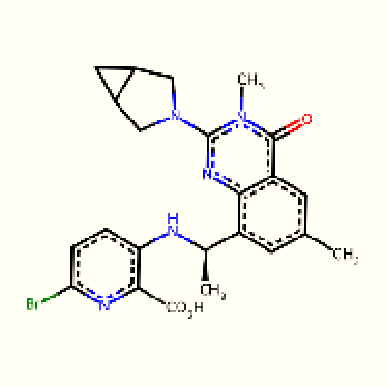 Cc1cc([C@@H](C)Nc2ccc(Br)nc2C(=O)O)c2nc(N3CC4CC4C3)n(C)c(=O)c2c1